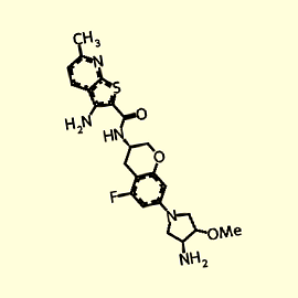 COC1CN(c2cc(F)c3c(c2)OC[C@H](NC(=O)c2sc4nc(C)ccc4c2N)C3)CC1N